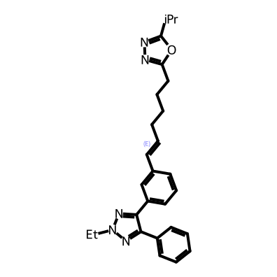 CCn1nc(-c2ccccc2)c(-c2cccc(/C=C/CCCCc3nnc(C(C)C)o3)c2)n1